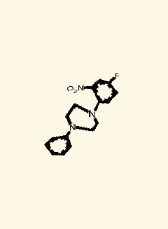 O=[N+]([O-])c1cc(F)ccc1N1CCN(c2ccccc2)CC1